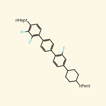 CCCCCCCc1ccc(-c2ccc(-c3ccc(C4CCC(CCCCC)CC4)cc3F)cc2)c(F)c1F